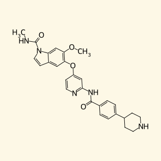 CNC(=O)n1ccc2cc(Oc3ccnc(NC(=O)c4ccc(C5CCNCC5)cc4)c3)c(OC)cc21